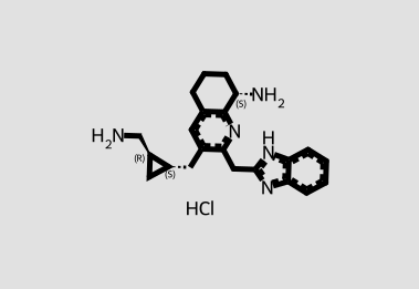 Cl.NC[C@@H]1C[C@H]1Cc1cc2c(nc1Cc1nc3ccccc3[nH]1)[C@@H](N)CCC2